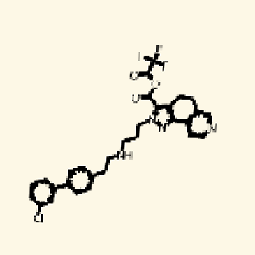 O=C(OC(=O)C(F)(F)F)c1c2c(nn1CCCNCCc1ccc(-c3cccc(Cl)c3)cc1)-c1ccncc1CC2